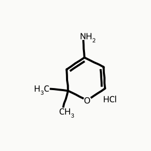 CC1(C)C=C(N)C=CO1.Cl